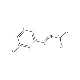 Cc1cccc(/C=N/N(C)C)c1